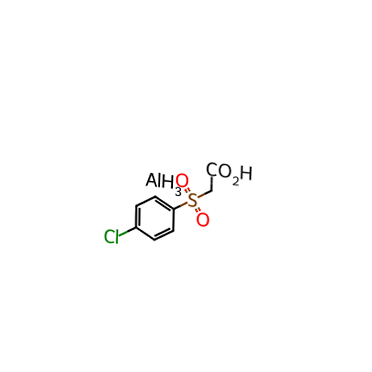 O=C(O)CS(=O)(=O)c1ccc(Cl)cc1.[AlH3]